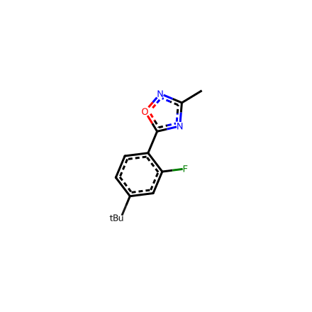 Cc1noc(-c2ccc(C(C)(C)C)cc2F)n1